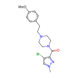 COc1ccc(CCN2CCN(C(=O)c3nn(C)cc3Br)CC2)cc1